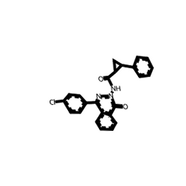 O=C(Nn1nc(-c2ccc(Cl)cc2)c2ccccc2c1=O)C1CC1c1ccccc1